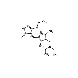 CCOC1=NNC(=O)/C1=C/c1[nH]c(C)c(CN(CC)CC)c1C